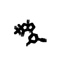 CC(F)(F)[C@]1(C)C[C@H]2CC[C@H](c3cc(F)cc(C#N)c3)N2C1=O